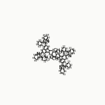 CC1(C)c2cc3c(cc2C(C)(C)c2cc4c(cc21)-c1cc(-c2nc5ccccc5n2-c2ccccc2)cc2cc(-c5nc6ccccc6n5-c5ccccc5)cc-4c12)-c1cc(-c2nc4ccccc4n2-c2ccccc2)cc2cc(-c4nc5ccccc5n4-c4ccccc4)cc-3c12